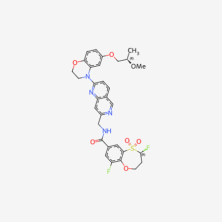 CO[C@H](C)COc1ccc2c(c1)N(c1ccc3cnc(CNC(=O)c4cc(F)c5c(c4)S(=O)(=O)[C@@H](F)CCO5)cc3n1)CCO2